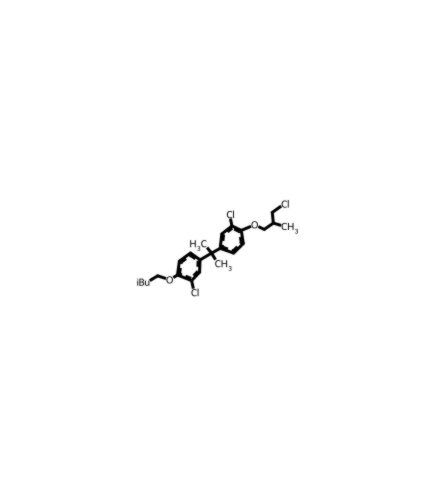 CCC(C)COc1ccc(C(C)(C)c2ccc(OCC(C)CCl)c(Cl)c2)cc1Cl